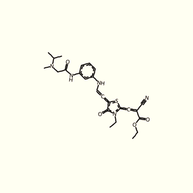 CCOC(=O)C(=C=c1sc(=C=CNc2cccc(NC(=O)CN(C)C(C)C)c2)c(=O)n1CC)C#N